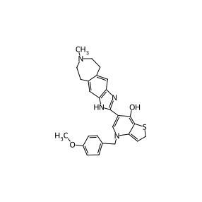 COc1ccc(CN2C=C(c3nc4cc5c(cc4[nH]3)CCN(C)CC5)C(O)=C3SCC=C32)cc1